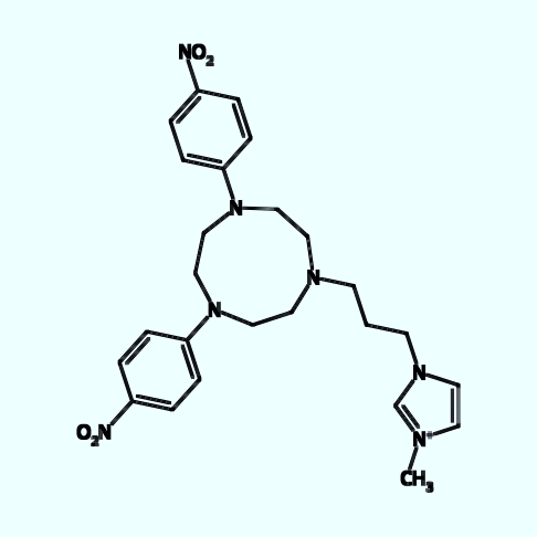 C[n+]1ccn(CCCN2CCN(c3ccc([N+](=O)[O-])cc3)CCN(c3ccc([N+](=O)[O-])cc3)CC2)c1